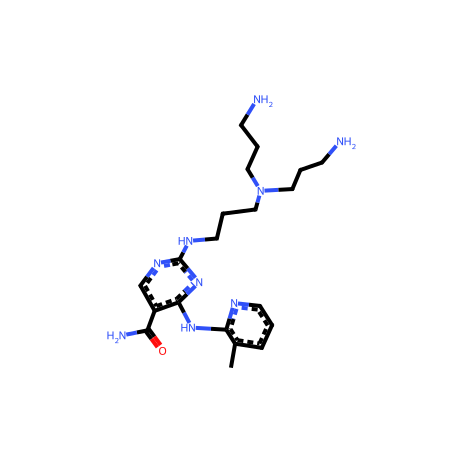 Cc1cccnc1Nc1nc(NCCCN(CCCN)CCCN)ncc1C(N)=O